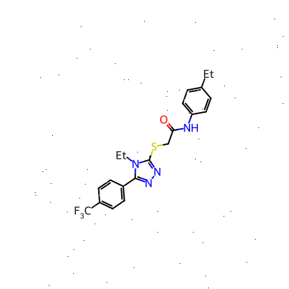 CCc1ccc(NC(=O)CSc2nnc(-c3ccc(C(F)(F)F)cc3)n2CC)cc1